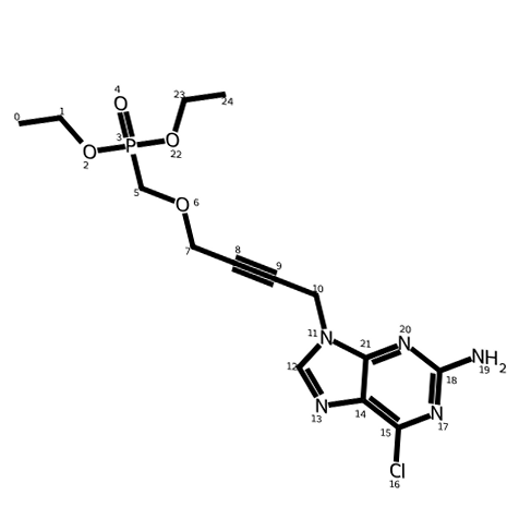 CCOP(=O)(COCC#CCn1cnc2c(Cl)nc(N)nc21)OCC